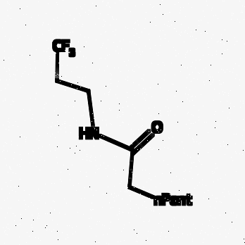 CCCCCCC(=O)NCCC(F)(F)F